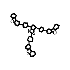 c1ccc2c(c1)oc1ccc(-c3ccc(-c4ccc(-c5ccc(-c6ccc7oc8ccccc8c7c6)cc5)c5sc(-c6ccc(-c7ccc8sc9ccccc9c8c7)cc6)nc45)cc3)cc12